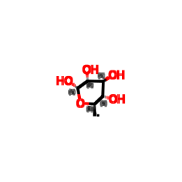 [CH2][C@H]1O[C@H](O)[C@H](O)[C@@H](O)[C@@H]1O